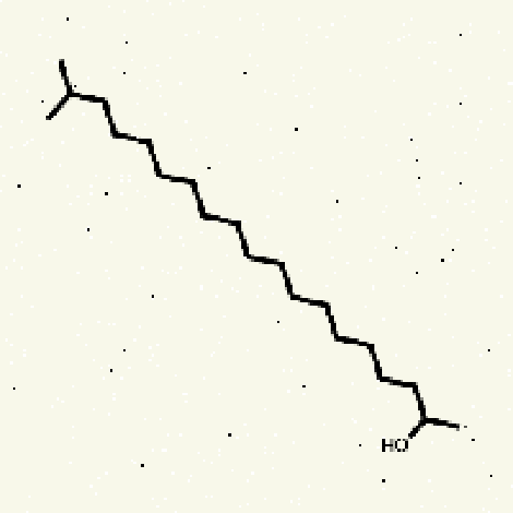 [CH2]C(O)CCCCCCCCCCCCCCCC(C)C